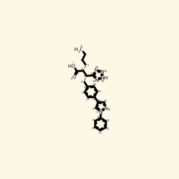 CCCC[C@@H](C(=O)O)[C@@H](Cc1ccc(-c2cnn(-c3ccccc3)c2)cc1)c1nn[nH]n1